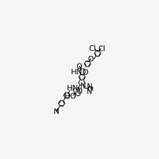 Cn1ccnc1CN1Cc2cc3c(cc2CC1C(=O)N[C@@H](Cc1ccc(-c2ccc(C#N)cc2)cc1)C(=O)O)NC(=O)[C@H](c1ccc(OCc2ccc(Cl)c(Cl)c2)cc1)O3